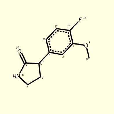 COc1cc(C2CCNC2=O)ccc1F